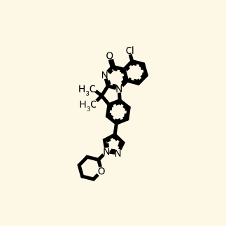 CC1(C)c2cc(-c3cnn(C4CCCCO4)c3)ccc2-n2c1nc(=O)c1c(Cl)cccc12